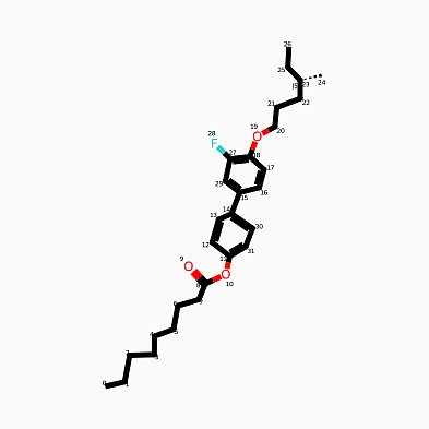 CCCCCCCCC(=O)Oc1ccc(-c2ccc(OCCC[C@@H](C)CC)c(F)c2)cc1